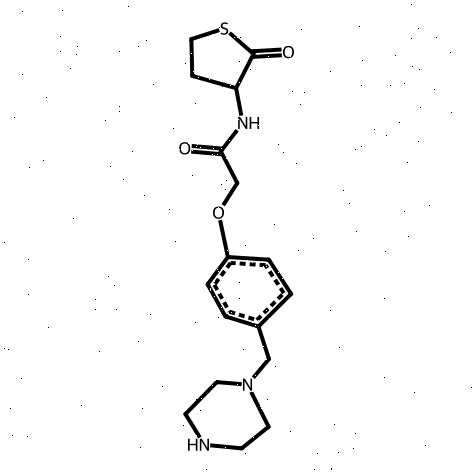 O=C(COc1ccc(CN2CCNCC2)cc1)NC1CCSC1=O